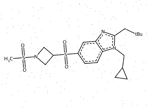 CC(C)(C)Cc1nc2cc(S(=O)(=O)C3CN(S(C)(=O)=O)C3)ccc2n1CC1CC1